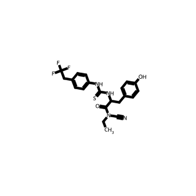 CCN(C#N)C(=O)C(Cc1ccc(O)cc1)NC(=S)Nc1ccc(CC(F)(F)F)cc1